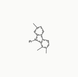 Cc1ccc2c3ccc(C)c(C)c3n(C(C)C)c2c1